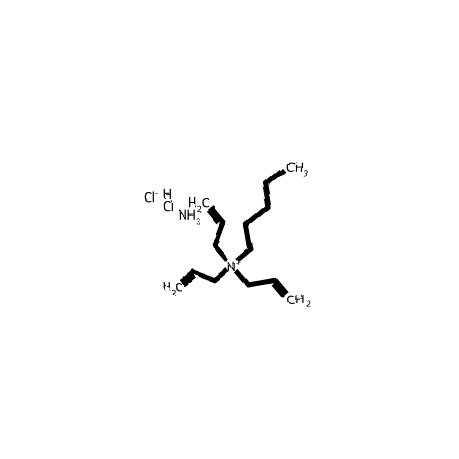 C=CC[N+](CC=C)(CC=C)CCCCC.Cl.N.[Cl-]